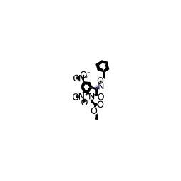 CCOC(=O)CN1C(=O)/C(=N/OCc2ccccc2)c2cc([N+](=O)[O-])cc([N+](=O)[O-])c21